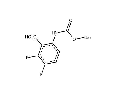 CC(C)(C)OC(=O)Nc1ccc(F)c(F)c1C(=O)O